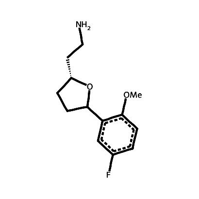 COc1ccc(F)cc1C1CC[C@H](CCN)O1